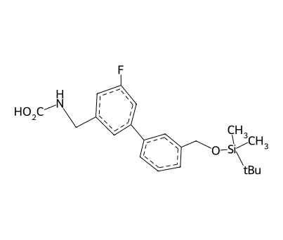 CC(C)(C)[Si](C)(C)OCc1cccc(-c2cc(F)cc(CNC(=O)O)c2)c1